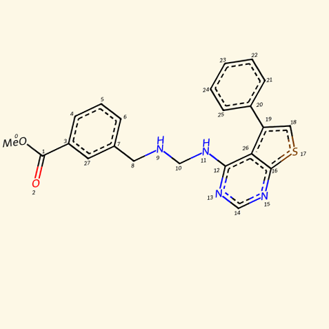 COC(=O)c1cccc(CNCNc2ncnc3scc(-c4ccccc4)c23)c1